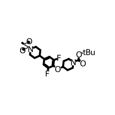 CC(C)(C)OC(=O)N1CCC(Oc2c(F)cc(C3CCN(S(C)(=O)=O)CC3)cc2F)CC1